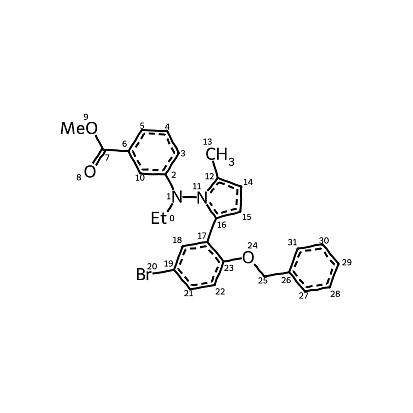 CCN(c1cccc(C(=O)OC)c1)n1c(C)ccc1-c1cc(Br)ccc1OCc1ccccc1